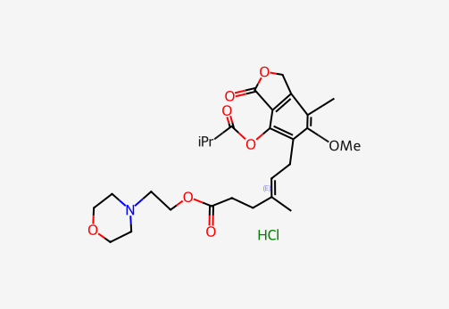 COc1c(C)c2c(c(OC(=O)C(C)C)c1C/C=C(\C)CCC(=O)OCCN1CCOCC1)C(=O)OC2.Cl